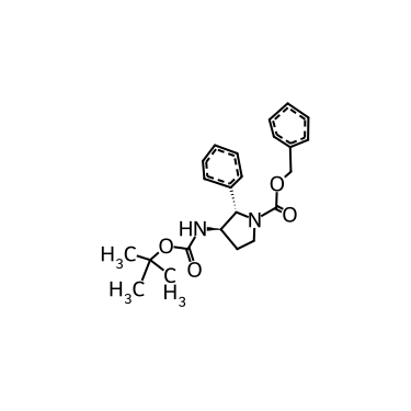 CC(C)(C)OC(=O)N[C@@H]1CCN(C(=O)OCc2ccccc2)[C@H]1c1ccccc1